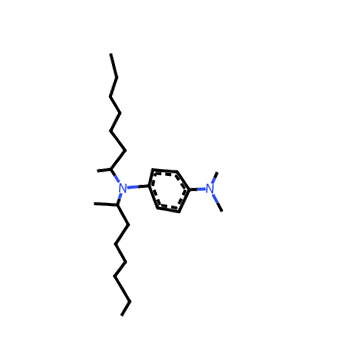 CCCCCCC(C)N(c1ccc(N(C)C)cc1)C(C)CCCCCC